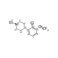 CCN1CCC(c2cccc(OC(F)(F)F)c2Cl)CC1